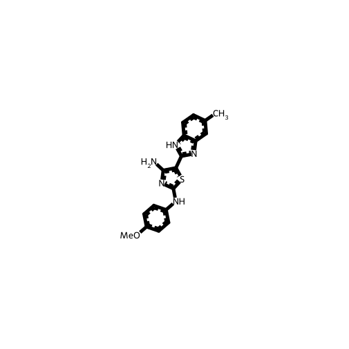 COc1ccc(Nc2nc(N)c(-c3nc4cc(C)ccc4[nH]3)s2)cc1